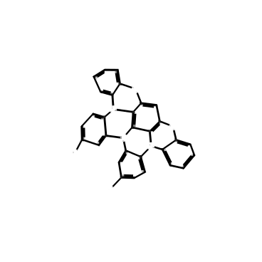 CC(C)(C)c1ccc2c(c1)B1c3cc(C(C)(C)C)ccc3-n3c4ccccc4oc4cc5oc6ccccc6n-2c5c1c43